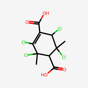 CC1(Cl)C(Cl)=C(C(=O)O)C(Cl)C(C)(Cl)C1C(=O)O